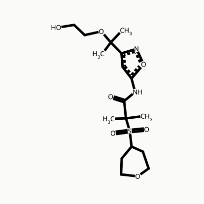 CC(C)(OCCO)c1cc(NC(=O)C(C)(C)S(=O)(=O)C2CCOCC2)on1